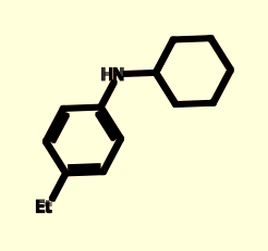 CCc1ccc(NC2CCCCC2)cc1